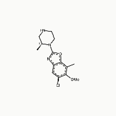 COc1c(Cl)cc2nc(N3CCNC[C@@H]3C)oc2c1C